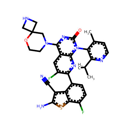 Cc1ccnc(C(C)C)c1-n1c(=O)nc(N2CCOC3(CNC3)C2)c2cc(F)c(-c3ccc(F)c4sc(N)c(C#N)c34)nc21